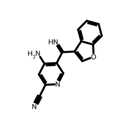 N#Cc1cc(N)c(C(=N)c2coc3ccccc23)cn1